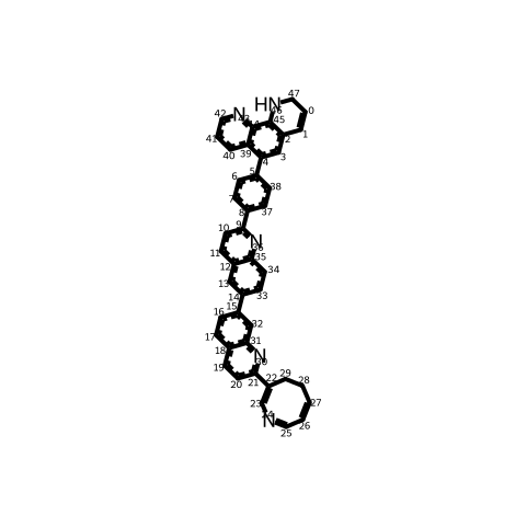 C1=Cc2cc(-c3ccc(-c4ccc5cc(-c6ccc7ccc(/C8=C/N=C\C=C/CC8)nc7c6)ccc5n4)cc3)c3cccnc3c2NC1